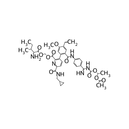 C=Cc1cc(C(=O)Nc2ccc(C(=N)NC(=O)OC(C)OC(C)=O)cc2)c(-c2ccc(C(=O)NCC3CC3)nc2C(=O)OCOC(=O)[C@@H](N)C(C)CC)cc1OC